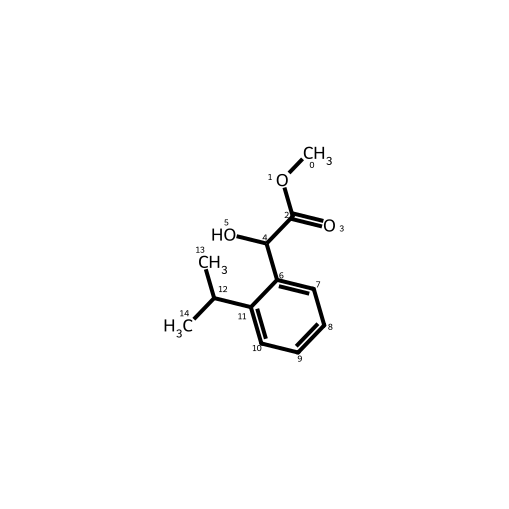 COC(=O)C(O)c1ccccc1C(C)C